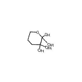 OC1(O)CCCOC1(O)O